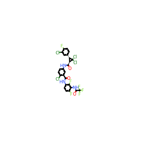 O=C(Nc1ccc(F)c(NC(=O)C(F)(F)F)c1F)c1cc(NC(=O)[C@H]2[C@H](c3ccc(F)c(Cl)c3)C2(Cl)Cl)ccc1Cl